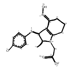 CC1C(Sc2ccc(Cl)cc2)C2=C(CCC/C2=N\O)N1CC(=O)O